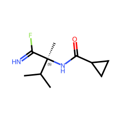 CC(C)[C@](C)(NC(=O)C1CC1)C(=N)F